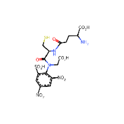 NC(CCC(=O)NC(CS)C(=O)N(CC(=O)O)c1c([N+](=O)[O-])cc([N+](=O)[O-])cc1S(=O)(=O)O)C(=O)O